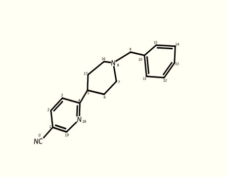 N#Cc1ccc(C2CCN(Cc3ccccc3)CC2)nc1